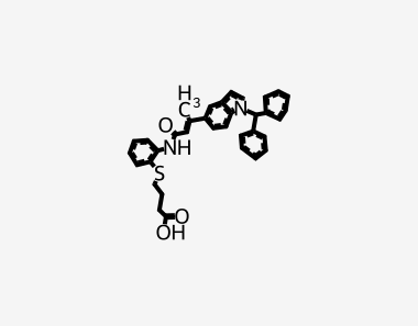 CC(=CC(=O)Nc1ccccc1SCCCC(=O)O)c1ccc2c(ccn2C(c2ccccc2)c2ccccc2)c1